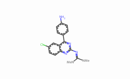 CNC(=Nc1nc(-c2ccc(N)cc2)c2cc(Cl)ccc2n1)NC